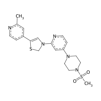 Cc1cc(C2=CN(c3cc(N4CCN(S(C)(=O)=O)CC4)ccn3)CS2)ccn1